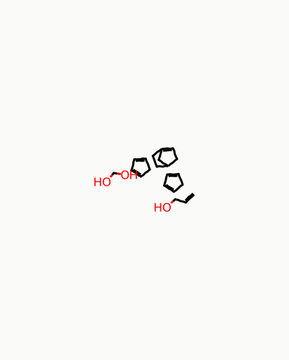 C1=C2CCC(C1)C2.C1=CCC=C1.C1=CCC=C1.C=CCO.OCO